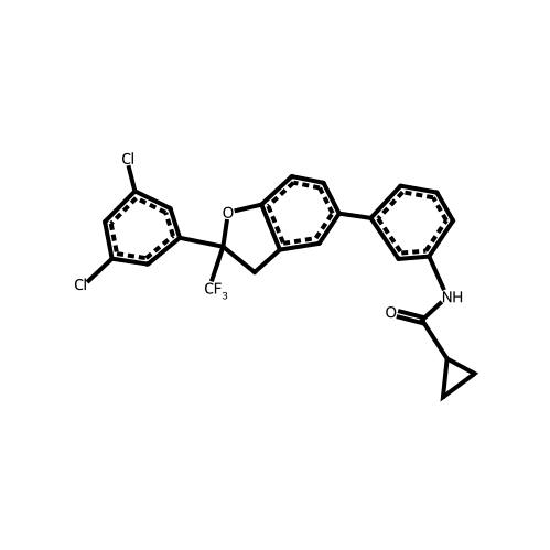 O=C(Nc1cccc(-c2ccc3c(c2)CC(c2cc(Cl)cc(Cl)c2)(C(F)(F)F)O3)c1)C1CC1